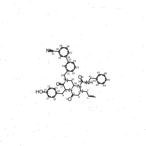 C=CCN1CC(=O)N2C(Cc3ccc(O)cc3)C(=O)N(Cc3cccc(-c4cccc(C#N)c4)c3)CC2N1C(=O)NCc1ccccc1